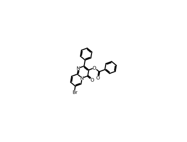 O=C(Oc1c(-c2ccccc2)nc2ccc(Br)cn2c1=O)c1ccccc1